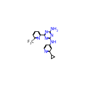 Nc1nc(Nc2ccnc(C3CC3)c2)nc(-c2cccc(C(F)(F)F)n2)n1